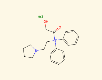 Cl.O=C(CO)[N+](CCN1CCCC1)(c1ccccc1)c1ccccc1